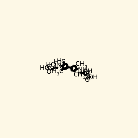 Cc1cc(-c2cc(C)c(NCC(O)CS(=O)(=O)O)c(C)c2)cc(C)c1NCC(O)CS(=O)(=O)O